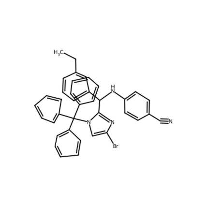 CCc1cccc(C(Nc2ccc(C#N)cc2)c2nc(Br)cn2C(c2ccccc2)(c2ccccc2)c2ccccc2)c1